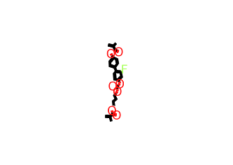 C=C(C)C(=O)OCCCCOC(=O)Oc1ccc(-c2ccc(OC(=O)C(=C)C)cc2)c(F)c1